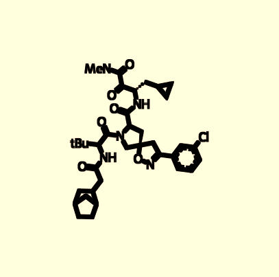 CNC(=O)C(=O)[C@H](CC1CC1)NC(=O)C1C[C@]2(CC(c3cccc(Cl)c3)=NO2)CN1C(=O)C(NC(=O)CC1CC2CCC1C2)C(C)(C)C